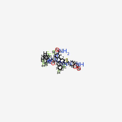 NC(=O)c1cc(-c2cc3sc(N4CCC5(CC4)CNC(=O)O5)nc3nc2[C@H](Cc2cc(F)cc(F)c2)NC(=O)Cn2nc(C(F)(F)F)c3c2C(F)(F)[C@@H]2C[C@H]32)ccc1F